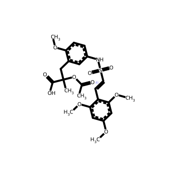 COc1cc(OC)c(/C=C/S(=O)(=O)Nc2ccc(OC)c(CC(C)(OC(C)=O)C(=O)O)c2)c(OC)c1